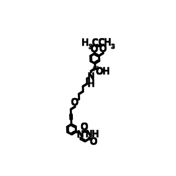 CC1(C)OCc2cc([C@@H](O)CNCCCCCCOCCC#Cc3cccc(-n4ccc(=O)[nH]c4=O)c3)ccc2O1